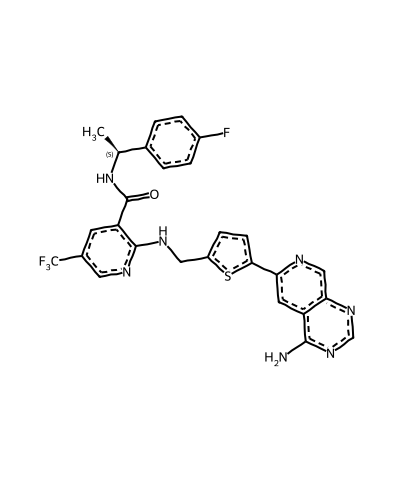 C[C@H](NC(=O)c1cc(C(F)(F)F)cnc1NCc1ccc(-c2cc3c(N)ncnc3cn2)s1)c1ccc(F)cc1